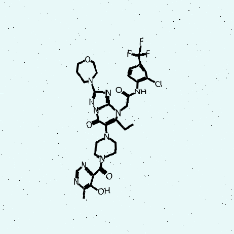 CCc1c(N2CCN(C(=O)c3ncnc(C)c3O)CC2)c(=O)n2nc(N3CCCOCC3)nc2n1CC(=O)Nc1ccc(C(F)(F)F)cc1Cl